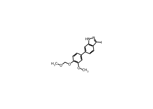 COCOc1ccc(-c2ccc3c(I)n[nH]c3c2)cc1OC